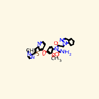 COc1cc(Oc2ccnc3cc(-c4nccn4C)sc23)ccc1N(C(N)=O)C(=O)Cn1ncc2ccccc21